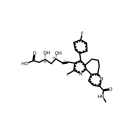 CNC(=O)c1ccc2c(n1)CCCc1c-2nc(I)c(/C=C/[C@@H](O)C[C@@H](O)CC(=O)O)c1-c1ccc(F)cc1